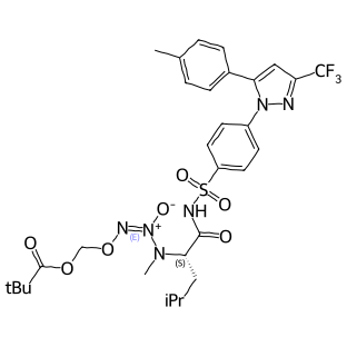 Cc1ccc(-c2cc(C(F)(F)F)nn2-c2ccc(S(=O)(=O)NC(=O)[C@H](CC(C)C)N(C)/[N+]([O-])=N\OCOC(=O)C(C)(C)C)cc2)cc1